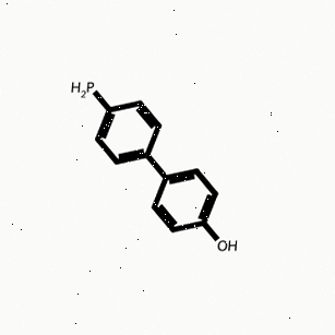 Oc1ccc(-c2ccc(P)cc2)cc1